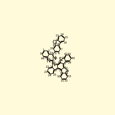 c1ccc2c(-c3ccc4c(c3)oc3ccccc34)nc(-n3c4ccccc4c4c5c6ccccc6sc5c5c6ccccc6sc5c43)nc2c1